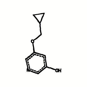 Oc1cncc(OCC2CC2)c1